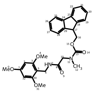 COc1cc(OC)c(CNC(=O)CN(C)C(=O)OCC2c3ccccc3-c3ccccc32)c(OC)c1